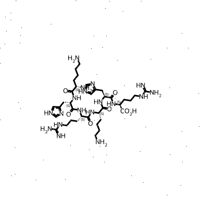 N=C(N)NCCC[C@H](NC(=O)[C@H](Cc1c[nH]cn1)NC(=O)[C@H](CCCCN)NC(=O)[C@H](CCCNC(=N)N)NC(=O)[C@H](Cc1c[nH]cn1)NC(=O)[C@@H](N)CCCCN)C(=O)O